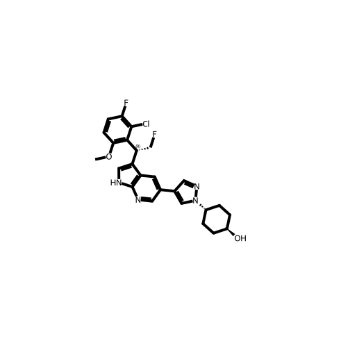 COc1ccc(F)c(Cl)c1[C@H](CF)c1c[nH]c2ncc(-c3cnn([C@H]4CC[C@H](O)CC4)c3)cc12